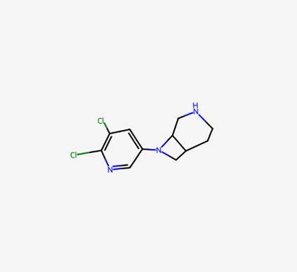 Clc1cc(N2CC3CCNCC32)cnc1Cl